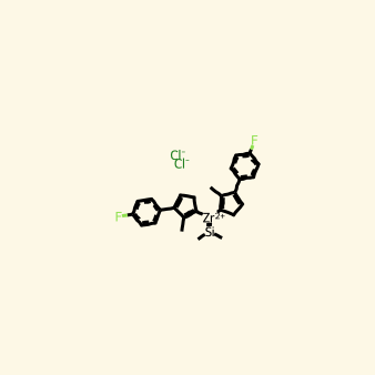 CC1=[C]([Zr+2]([C]2=C(C)C(c3ccc(F)cc3)=CC2)=[Si](C)C)CC=C1c1ccc(F)cc1.[Cl-].[Cl-]